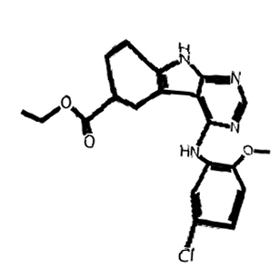 CCOC(=O)C1CCc2[nH]c3ncnc(Nc4cc(Cl)ccc4OC)c3c2C1